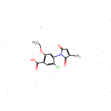 CCOc1cc(N2C(=O)C=C(C)C2=O)c(Cl)cc1C(=O)O